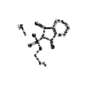 CCOP(=O)(SCC)N1C(=O)c2ccccc2C1=O